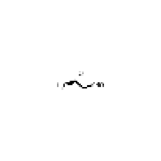 C=CCC=O.[C]